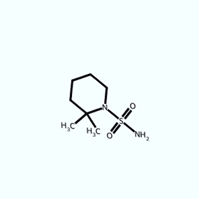 CC1(C)CCCCN1S(N)(=O)=O